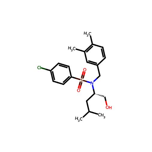 Cc1ccc(CN([C@H](CO)CC(C)C)S(=O)(=O)c2ccc(Cl)cc2)cc1C